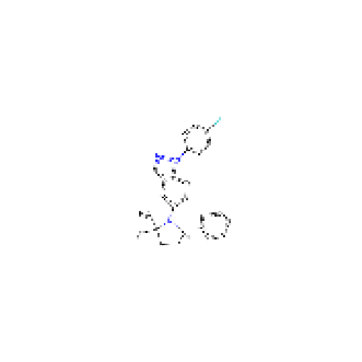 CC1(C)CC[C@@H](c2ccccc2)N1c1ccc2c(cnn2-c2ccc(F)cc2)c1